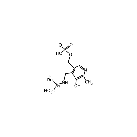 CC[C@H](C)[C@H](NCc1c(COP(=O)(O)O)cnc(C)c1O)C(=O)O